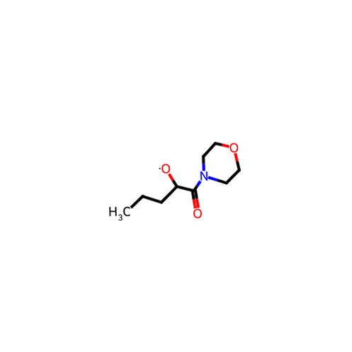 CCCC([O])C(=O)N1CCOCC1